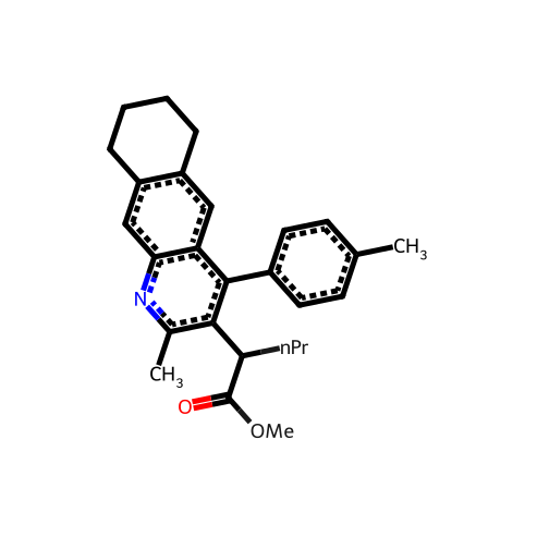 CCCC(C(=O)OC)c1c(C)nc2cc3c(cc2c1-c1ccc(C)cc1)CCCC3